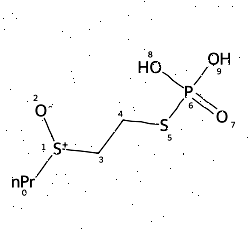 CCC[S+]([O-])CCSP(=O)(O)O